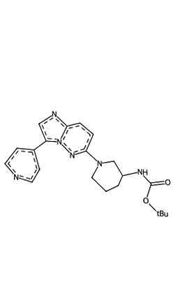 CC(C)(C)OC(=O)NC1CCCN(c2ccc3ncc(-c4ccncc4)n3n2)C1